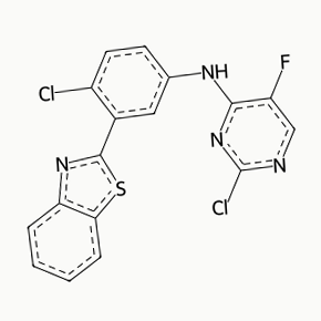 Fc1cnc(Cl)nc1Nc1ccc(Cl)c(-c2nc3ccccc3s2)c1